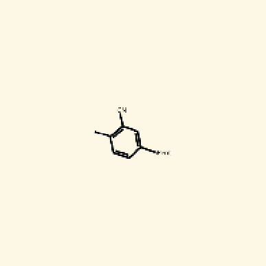 CCCC(C)c1ccc(C)c(C#N)c1